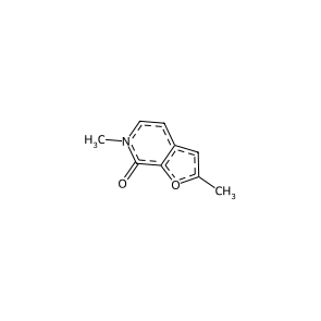 Cc1cc2ccn(C)c(=O)c2o1